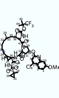 COc1ccc2c(Cl)cc(O[C@@H]3C[C@H]4C(=O)N[C@]5(C(=O)NS(=O)(=O)C6(C)CC6)C[C@H]5/C=C\CC[C@@H](C)C[C@@H](C)[C@H](NC(=O)OC(C)(C)C(F)(F)F)C(=O)N4C3)nc2c1